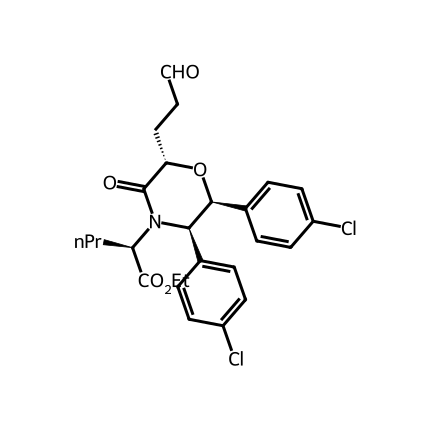 CCC[C@H](C(=O)OCC)N1C(=O)[C@H](CCC=O)O[C@@H](c2ccc(Cl)cc2)[C@H]1c1ccc(Cl)cc1